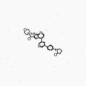 O=C(c1cc2c(-c3cncc(-c4ccc(N5CCCC5=O)cc4)c3)ccnc2[nH]1)N1CCOCC1